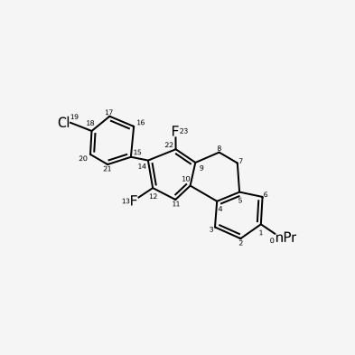 CCCc1ccc2c(c1)CCc1c-2cc(F)c(-c2ccc(Cl)cc2)c1F